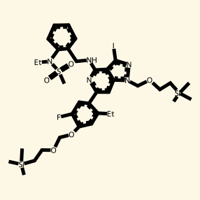 CCc1cc(OCOCC[Si](C)(C)C)c(F)cc1-c1cc2c(c(I)nn2COCC[Si](C)(C)C)c(NCc2ccccc2N(CC)S(C)(=O)=O)n1